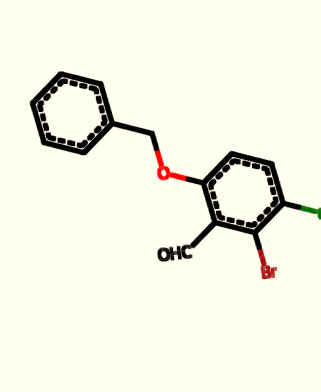 O=Cc1c(OCc2ccccc2)ccc(Cl)c1Br